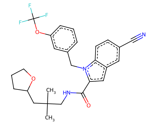 CC(C)(CNC(=O)c1cc2cc(C#N)ccc2n1Cc1cccc(OC(F)(F)F)c1)CC1CCCO1